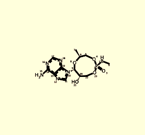 CBP1(=O)OC[C@H](C)O[C@@H](n2cnc3c(N)ncnc32)[C@@H](O)CO1